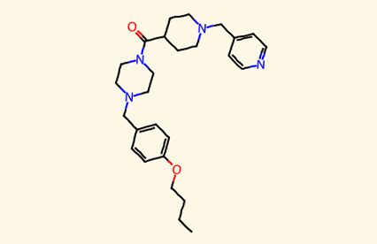 CCCCOc1ccc(CN2CCN(C(=O)C3CCN(Cc4ccncc4)CC3)CC2)cc1